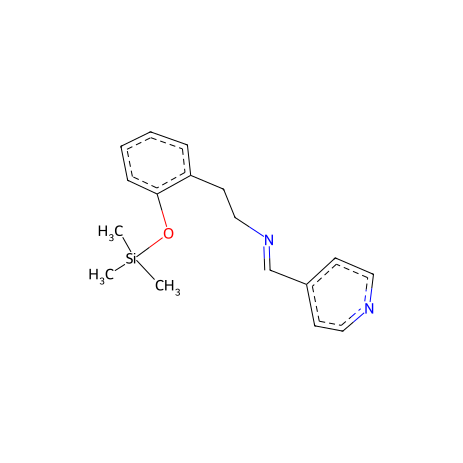 C[Si](C)(C)Oc1ccccc1CCN=Cc1ccncc1